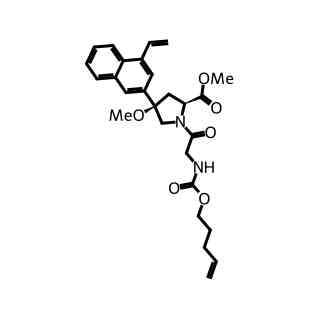 C=CCCCOC(=O)NCC(=O)N1C[C@](OC)(c2cc(C=C)c3ccccc3c2)C[C@H]1C(=O)OC